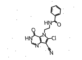 N#Cc1c(Cl)n(CCNC(=O)c2ccccc2)c2c(=O)[nH]cnc12